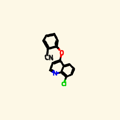 N#Cc1ccccc1Oc1ccnc2c(Cl)cccc12